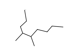 [CH2]CCC(C)C(C)CCCC